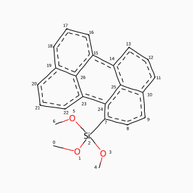 CO[Si](OC)(OC)c1ccc2cccc3c4cccc5cccc(c1c23)c54